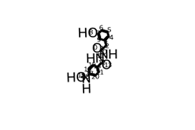 O=C(Cc1cccc(O)c1)NNC(=O)c1ccc(NO)cc1